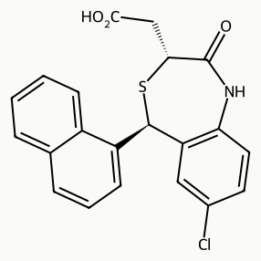 O=C(O)C[C@H]1S[C@H](c2cccc3ccccc23)c2cc(Cl)ccc2NC1=O